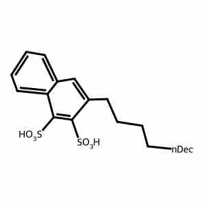 CCCCCCCCCCCCCCc1cc2ccccc2c(S(=O)(=O)O)c1S(=O)(=O)O